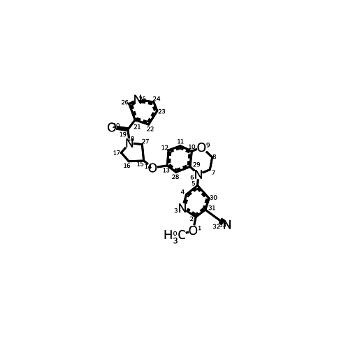 COc1ncc(N2CCOc3ccc(OC4CCN(C(=O)c5cccnc5)C4)cc32)cc1C#N